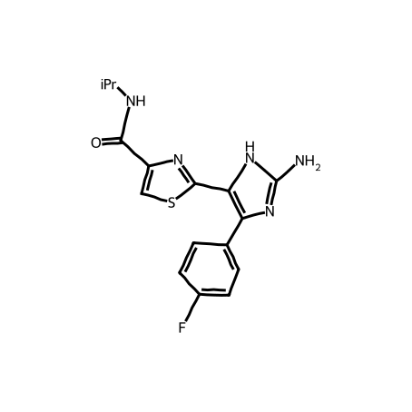 CC(C)NC(=O)c1csc(-c2[nH]c(N)nc2-c2ccc(F)cc2)n1